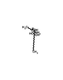 CCCCCCCCCCCCCCC(O)C(O)C(N)C(O)OC(=O)CCCCC